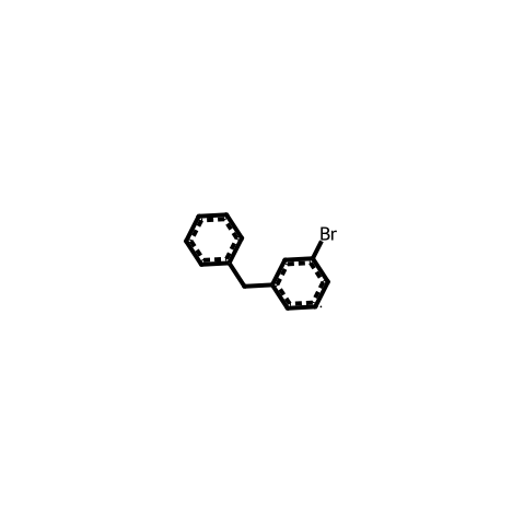 Brc1c[c]cc(Cc2ccccc2)c1